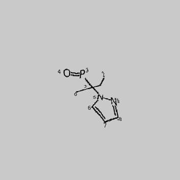 CC(C)(P=O)n1cc[c]n1